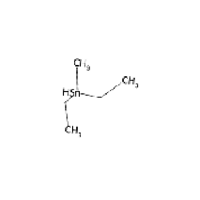 C[CH2][SnH]([CH3])[CH2]C